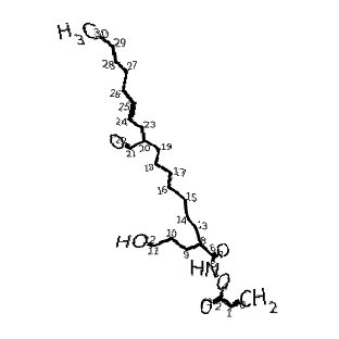 C=CC(=O)ONC(=O)C(CCCO)CCCCCCCC(C=O)CC=CCCCCC